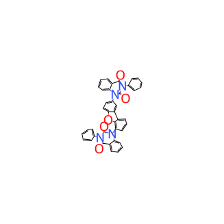 O=c1c2ccccc2n(-c2ccc3oc4c(-n5c(=O)n(-c6ccccc6)c(=O)c6ccccc65)cccc4c3c2)c(=O)n1-c1ccccc1